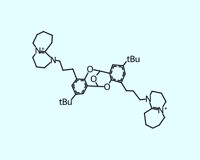 CC(C)(C)c1cc(CCCN2CCC[N+]3=C2CCCCC3)c2c(c1)C1Oc3c(CCCN4CCC[N+]5=C4CCCCC5)cc(C(C)(C)C)cc3C(O2)O1